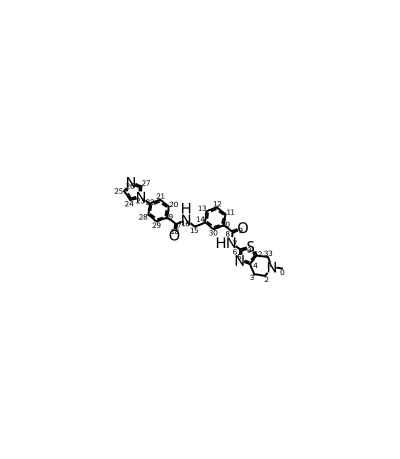 CN1CCc2nc(NC(=O)c3cccc(CNC(=O)c4ccc(-n5ccnc5)cc4)c3)sc2C1